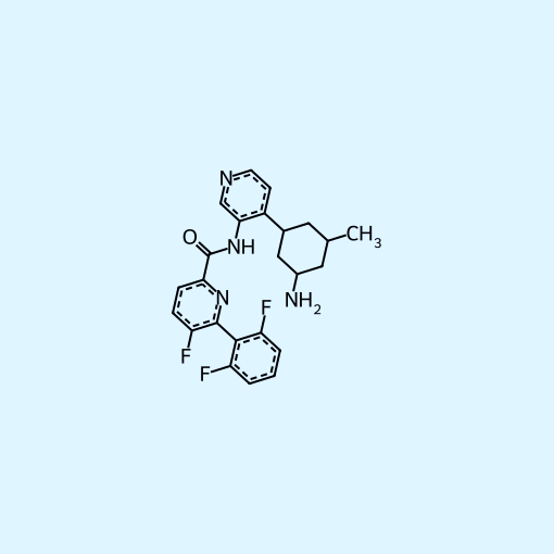 CC1CC(N)CC(c2ccncc2NC(=O)c2ccc(F)c(-c3c(F)cccc3F)n2)C1